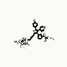 CC(=O)Nc1cccc(-c2c(C#CCCO[Si](C)(C)C(C)(C)C)sc(-c3ccc(F)cc3)c2-c2ccncc2)c1